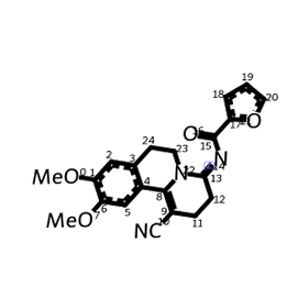 COc1cc2c(cc1OC)C1=C(C#N)CC/C(=N/C(=O)c3ccco3)N1CC2